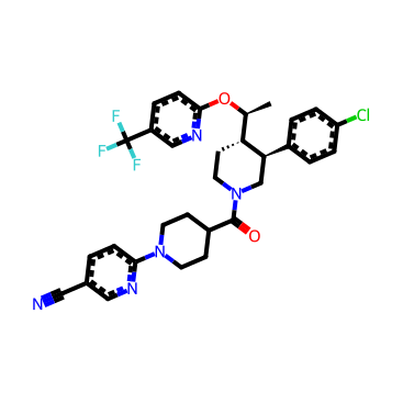 C[C@H](Oc1ccc(C(F)(F)F)cn1)[C@H]1CCN(C(=O)C2CCN(c3ccc(C#N)cn3)CC2)C[C@@H]1c1ccc(Cl)cc1